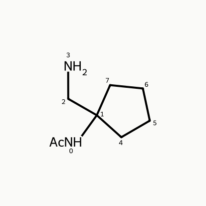 CC(=O)NC1(CN)CCCC1